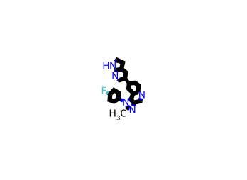 Cc1nc2cnc3ccc(-c4cnc5[nH]ccc5c4)cc3c2n1-c1ccc(F)cc1